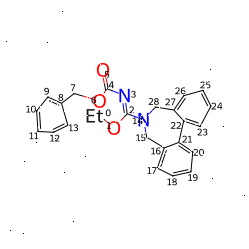 CCOC(=NC(=O)OCc1ccccc1)N1Cc2ccccc2-c2ccccc2C1